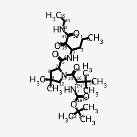 CCCC(NC(=O)C1CC(C)(C)CN1C(=O)[C@@H](NC(=O)OC(C)(C)C)C(C)(C)C)C(=O)C(=O)NCC